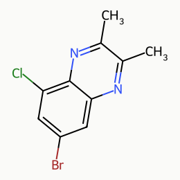 Cc1nc2cc(Br)cc(Cl)c2nc1C